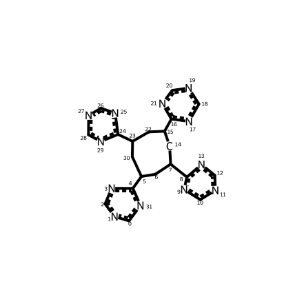 c1ncnc(C2CC(c3ncncn3)CC(c3ncncn3)CC(c3ncncn3)C2)n1